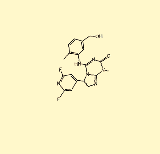 Cc1ccc(CO)cc1NC1=NC(=O)N(C)C2=NCC(c3cc(F)nc(F)c3)N12